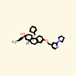 CC#C[C@@]1(O)CC[C@@]2(Cc3ccccc3)c3ccc(OCc4ccnc(N5CCCC5)c4)cc3CC[C@@H]2C1